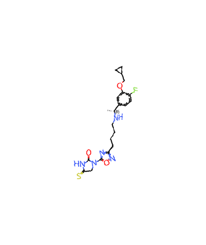 C[C@@H](NCCCCc1noc(N2CC(=S)NC2=O)n1)c1ccc(F)c(OCC2CC2)c1